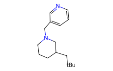 CC(C)(C)CC1CCCN(Cc2cccnc2)C1